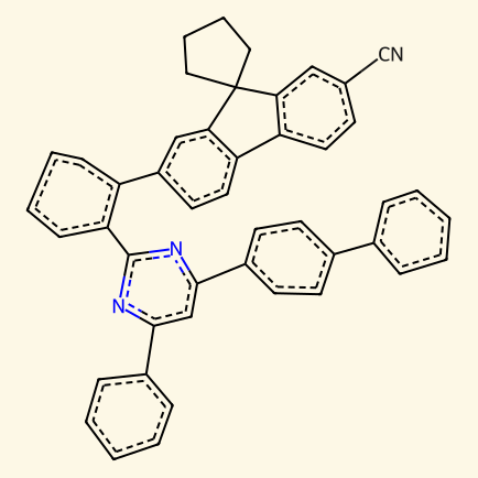 N#Cc1ccc2c(c1)C1(CCCC1)c1cc(-c3ccccc3-c3nc(-c4ccccc4)cc(-c4ccc(-c5ccccc5)cc4)n3)ccc1-2